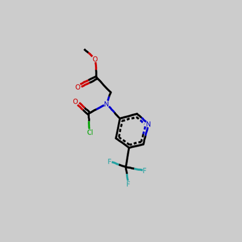 COC(=O)CN(C(=O)Cl)c1cncc(C(F)(F)F)c1